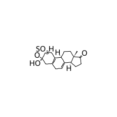 C[C@]12CC[C@H]3C(=CCC4=C3CC[C@@](O)(OS(=O)(=O)O)C4)[C@@H]1CCC2=O